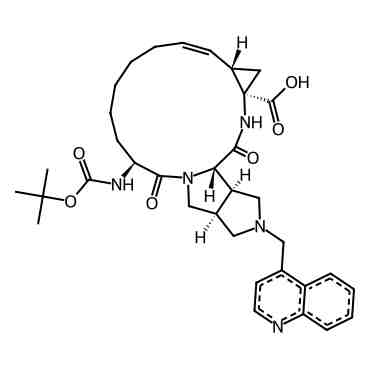 CC(C)(C)OC(=O)N[C@H]1CCCCC/C=C\[C@@H]2C[C@@]2(C(=O)O)NC(=O)[C@@H]2[C@H]3CN(Cc4ccnc5ccccc45)C[C@H]3CN2C1=O